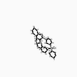 O=S(=O)(c1ccccc1)c1cccc(-c2nc3ccccc3c3nc4sc5ccccc5n4c23)c1